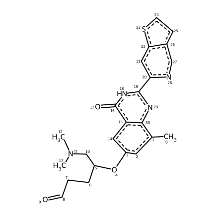 Cc1cc(OC(CCC=O)CN(C)C)cc2c(=O)[nH]c(-c3cc4sccc4cn3)nc12